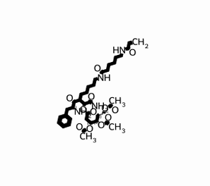 C=CC(=O)NCCCCCC(=O)NCCCCCC(C(=O)[C@@H](N)Cc1ccccc1)C(O[C@H]1C[C@@H](OC(C)=O)[C@H](OC(C)=O)[C@@H](COC(C)=O)O1)C(N)=O